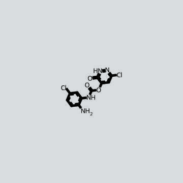 Nc1ccc(Cl)cc1NC(=O)Oc1cc(Cl)n[nH]c1=O